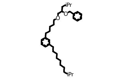 CC(C)CCCCCCCCc1cccc(CCCCCOCC(CC(C)C)OCc2ccccc2)c1